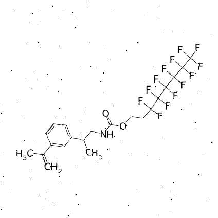 C=C(C)c1cccc(C(C)CNC(=O)OCCC(F)(F)C(F)(F)C(F)(F)C(F)(F)C(F)(F)C(F)(F)F)c1